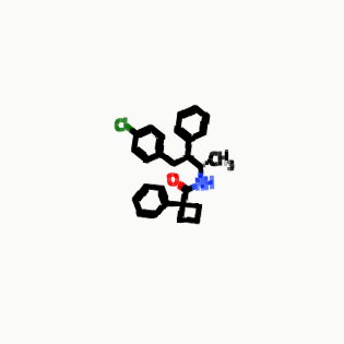 C[C@H](NC(=O)C1(c2ccccc2)CCC1)[C@@H](Cc1ccc(Cl)cc1)c1ccccc1